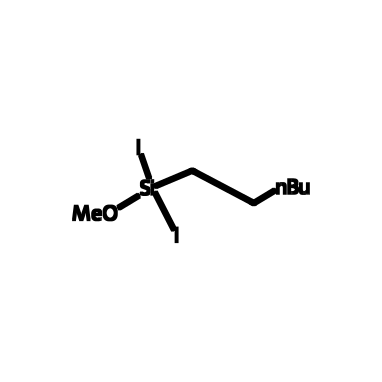 CCCCCC[Si](I)(I)OC